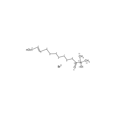 CCCCCCCCC=CCCCCCCCC(=O)[N+](C)(C)CC.[Br-]